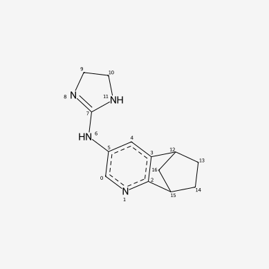 c1nc2c(cc1NC1=NCCN1)C1CCC2C1